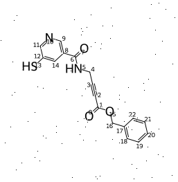 O=C(C#CCNC(=O)c1cncc(S)c1)OCc1ccccc1